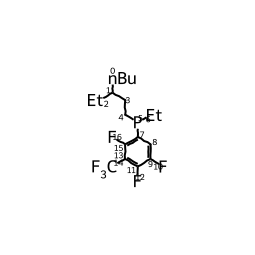 CCCCC(CC)CCP(CC)c1cc(F)c(F)c(C(F)(F)F)c1F